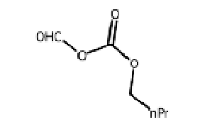 CCCCOC(=O)OC=O